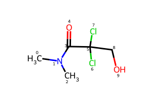 CN(C)C(=O)C(Cl)(Cl)CO